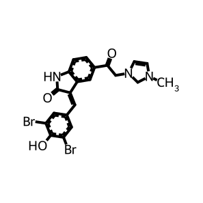 CN1C=CN(CC(=O)c2ccc3c(c2)C(=Cc2cc(Br)c(O)c(Br)c2)C(=O)N3)C1